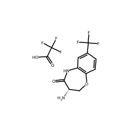 N[C@H]1COc2ccc(C(F)(F)F)cc2NC1=O.O=C(O)C(F)(F)F